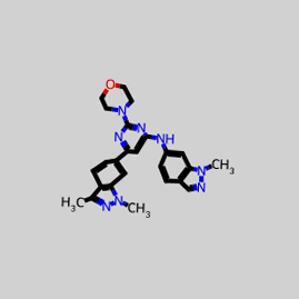 Cc1nn(C)c2cc(-c3cc(Nc4ccc5cnn(C)c5c4)nc(N4CCOCC4)n3)ccc12